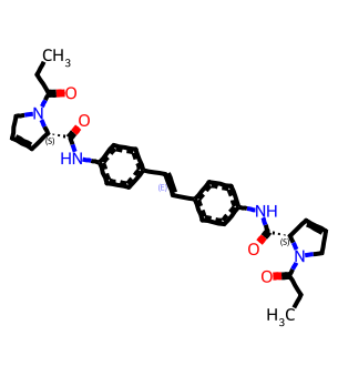 CCC(=O)N1CC=C[C@H]1C(=O)Nc1ccc(/C=C/c2ccc(NC(=O)[C@@H]3C=CCN3C(=O)CC)cc2)cc1